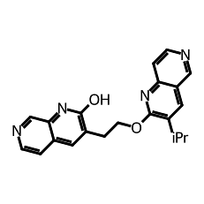 CC(C)c1cc2cnccc2nc1OCCc1cc2ccncc2nc1O